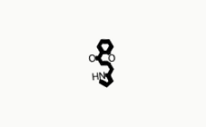 O=c1cc(Cc2ccc[nH]2)oc2ccccc12